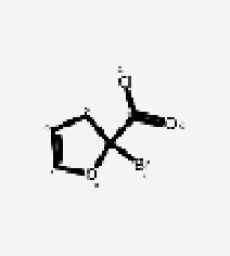 O=C(Cl)C1(Br)CC=CO1